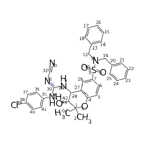 CC1(C)Oc2ccc(S(=O)(=O)N(Cc3ccccc3)Cc3ccccc3)cc2C(N/C(=N\C#N)Nc2ccc(Cl)cc2)C1O